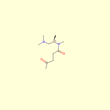 CC(=O)CCC(=O)N(C)[C@H](C)CN(C)C